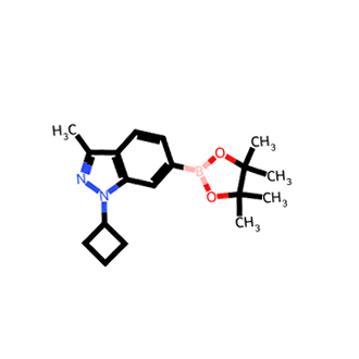 Cc1nn(C2CCC2)c2cc(B3OC(C)(C)C(C)(C)O3)ccc12